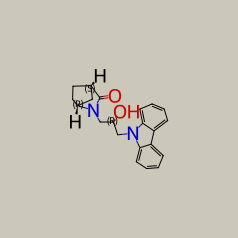 O=C1[C@H]2CC[C@H](C2)N1C[C@@H](O)Cn1c2ccccc2c2ccccc21